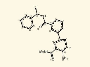 CNC(=O)c1nc(-c2cccc(C(=O)N[C@H](C)c3ccccc3)c2)cnc1N